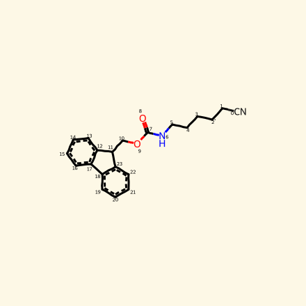 N#CC[CH]CCCNC(=O)OCC1c2ccccc2-c2ccccc21